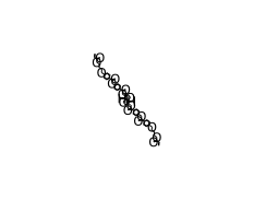 C=CC(=O)OCCCOc1ccc(C(=O)Oc2ccc(C(=O)OC3CO[C@@H]4[C@@H](OC(=O)c5ccc(OC(=O)c6ccc(OCCCOC(=O)C=C)cc6)cc5)CO[C@H]34)cc2)cc1